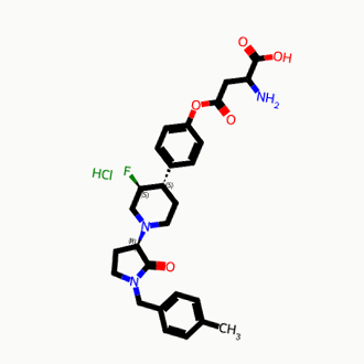 Cc1ccc(CN2CC[C@@H](N3CC[C@@H](c4ccc(OC(=O)CC(N)C(=O)O)cc4)[C@H](F)C3)C2=O)cc1.Cl